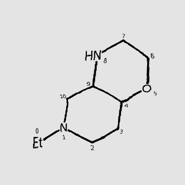 CCN1CCC2OCCNC2C1